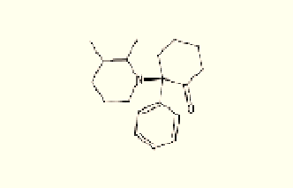 CC1CCCN([C@@]2(c3ccccc3)CCCCC2=O)C1C